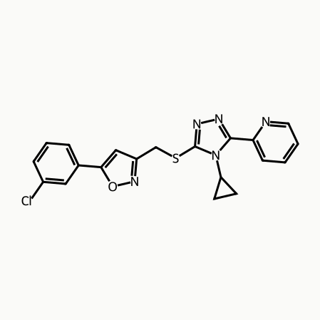 Clc1cccc(-c2cc(CSc3nnc(-c4ccccn4)n3C3CC3)no2)c1